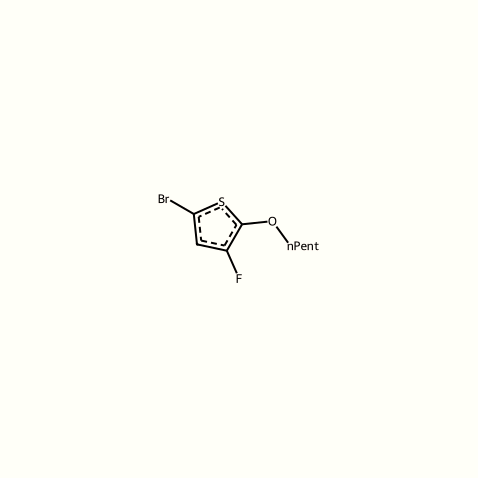 CCCCCOc1sc(Br)cc1F